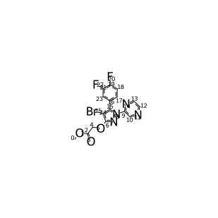 COC(=O)COc1nn(-c2cnccn2)c(-c2ccc(F)c(F)c2)c1Br